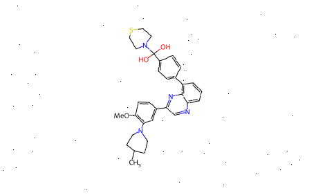 COc1ccc(-c2cnc3cccc(-c4ccc(C(O)(O)N5CCSCC5)cc4)c3n2)cc1N1CCC(C)CC1